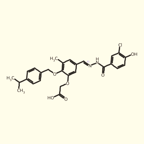 Cc1cc(/C=N/NC(=O)c2ccc(O)c(Cl)c2)cc(OCC(=O)O)c1OCc1ccc(C(C)C)cc1